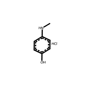 CNc1ccc(O)cc1.Cl